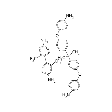 CC(C)(c1ccc(Oc2ccc(N)cc2)cc1)c1ccc(Oc2ccc(N)cc2)cc1.Nc1ccc(-c2ccc(N)cc2C(F)(F)F)c(C(F)(F)F)c1